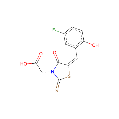 O=C(O)CN1C(=O)/C(=C\c2cc(F)ccc2O)SC1=S